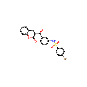 O=C(c1cccc(NS(=O)(=O)c2ccc(Br)cc2)c1)c1cc2ccccc2oc1=O